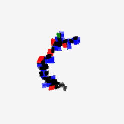 CCc1cc2ncc(CN3CCN(c4ccc(C(=O)NCCOCCNC(=O)c5ccc(NC(=O)CNCCn6ccnn6)c(Cl)n5)nc4)CC3)cc2[nH]c1=O